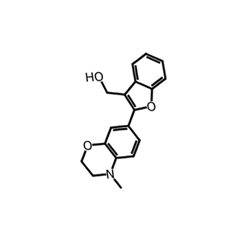 CN1CCOc2cc(-c3oc4ccccc4c3CO)ccc21